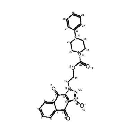 O=C1c2ccccc2C(=O)c2c1n(CCOC(=O)N1CCN(c3ccccc3)CC1)n[n+]2[O-]